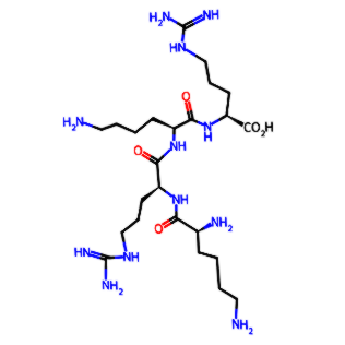 N=C(N)NCCC[C@H](NC(=O)[C@H](CCCCN)NC(=O)[C@H](CCCNC(=N)N)NC(=O)[C@@H](N)CCCCN)C(=O)O